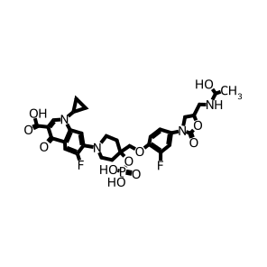 CC(O)NCC1CN(c2ccc(OCC3(OP(=O)(O)O)CCN(c4cc5c(cc4F)c(=O)c(C(=O)O)cn5C4CC4)CC3)c(F)c2)C(=O)O1